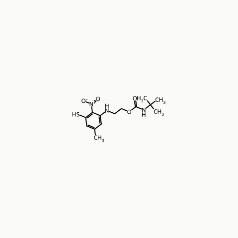 Cc1cc(S)c([N+](=O)[O-])c(NCCOC(=O)NC(C)(C)C)c1